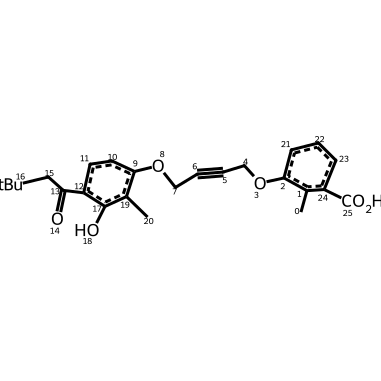 Cc1c(OCC#CCOc2ccc(C(=O)CC(C)(C)C)c(O)c2C)cccc1C(=O)O